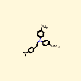 COc1ccc(N(C=Cc2ccc(B(C)C)cc2)c2ccc(OC)cc2)cc1